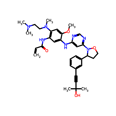 C=CC(=O)Nc1cc(Nc2cc(N3OCCC3c3cccc(C#CC(C)(C)O)c3)ncn2)c(OC)cc1N(C)CCN(C)C